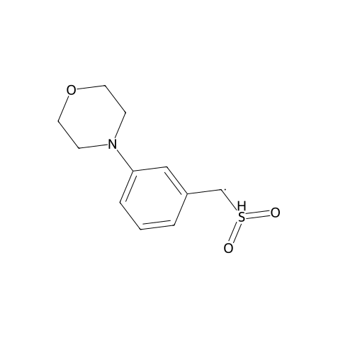 O=[SH](=O)[CH]c1cccc(N2CCOCC2)c1